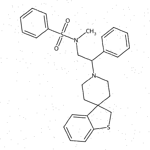 CN(CC(c1ccccc1)N1CCC2(CC1)CSc1ccccc12)S(=O)(=O)c1ccccc1